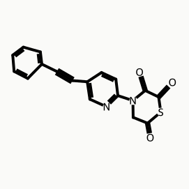 O=C1CN(c2ccc(C#Cc3ccccc3)cn2)C(=O)C(=O)S1